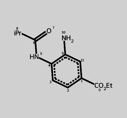 CCOC(=O)c1ccc(NC(=O)C(C)C)c(N)c1